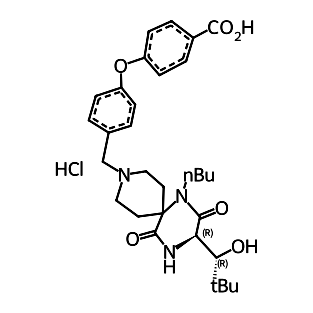 CCCCN1C(=O)[C@@H]([C@H](O)C(C)(C)C)NC(=O)C12CCN(Cc1ccc(Oc3ccc(C(=O)O)cc3)cc1)CC2.Cl